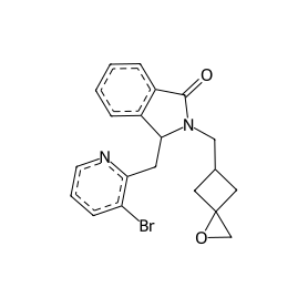 O=C1c2ccccc2C(Cc2ncccc2Br)N1CC1CC2(CO2)C1